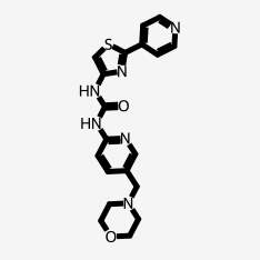 O=C(Nc1ccc(CN2CCOCC2)cn1)Nc1csc(-c2ccncc2)n1